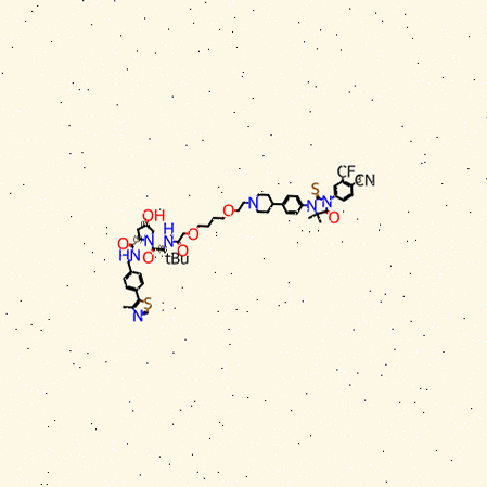 Cc1ncsc1-c1ccc(CNC(=O)[C@@H]2C[C@@H](O)CN2C(=O)[C@@H](NC(=O)COCCCCOCCN2CCC(c3ccc(N4C(=S)N(c5ccc(C#N)c(C(F)(F)F)c5)C(=O)C4(C)C)cc3)CC2)C(C)(C)C)cc1